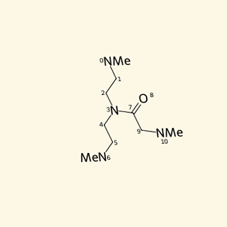 CNCCN(CCNC)C(=O)CNC